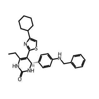 CCC1=C(c2nc(C3CCCCC3)cs2)[C@H](c2ccc(NCc3ccccc3)cc2)NC(=O)N1